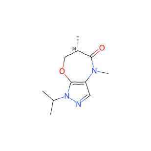 CC(C)n1ncc2c1OC[C@H](C)C(=O)N2C